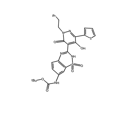 CC(C)CCn1nc(-c2cccs2)c(O)c(C2=Nc3ccc(NC(=O)OC(C)(C)C)cc3S(=O)(=O)N2)c1=O